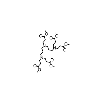 COC(=O)CCN(CCCN(CCC(=O)OC)CCC(=O)OC)CCCN(CCC(=O)OC)CCC(=O)OC